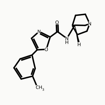 Cc1cccc(-c2cnc(C(=O)N[C@H]3CN4CCC3CC4)o2)c1